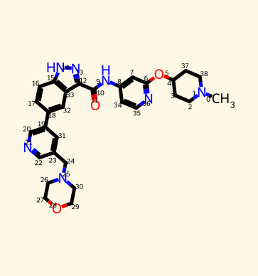 CN1CCC(Oc2cc(NC(=O)c3n[nH]c4ccc(-c5cncc(CN6CCOCC6)c5)cc34)ccn2)CC1